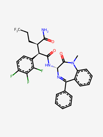 CN1C(=O)[C@@H](NC(=O)[C@@H](c2ccc(F)c(F)c2F)[C@@H](CCC(F)(F)F)C(N)=O)N=C(c2ccccc2)c2ccccc21